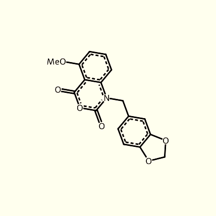 COc1cccc2c1c(=O)oc(=O)n2Cc1ccc2c(c1)OCO2